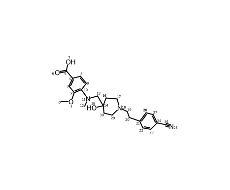 COc1cc(C(=O)O)ccc1N(C)CC1(O)CCN(CCc2ccc(C#N)cc2)CC1